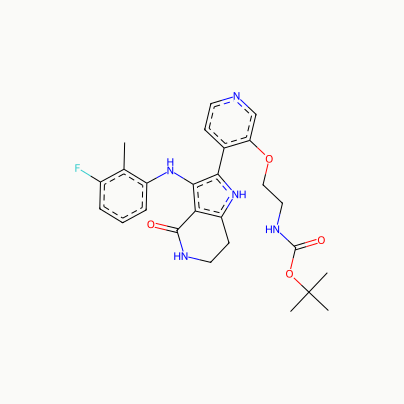 Cc1c(F)cccc1Nc1c(-c2ccncc2OCCNC(=O)OC(C)(C)C)[nH]c2c1C(=O)NCC2